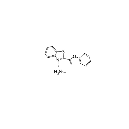 C=C(Oc1ccccc1)c1sc2ccccc2[n+]1C.CN